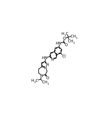 CC(C)N1CCc2cc(Nc3cc4cc(NC(=O)OC(C)(C)C)cc(Cl)c4cn3)nn2CC1=O